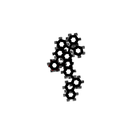 c1ccc(-c2ccccc2-c2ccccc2-c2ccccc2N(c2ccc(-c3cccc4c3ccc3ccccc34)cc2)c2ccc3c(c2)-c2ccccc2C3(c2ccccc2)c2ccccc2)cc1